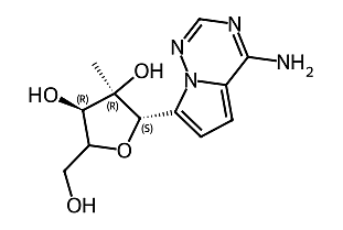 C[C@@]1(O)[C@H](O)C(CO)O[C@H]1c1ccc2c(N)ncnn12